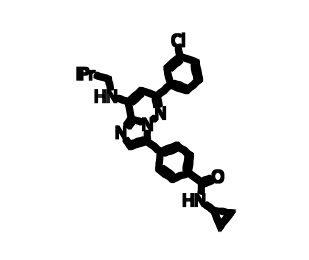 CC(C)CNc1cc(-c2cccc(Cl)c2)nn2c(-c3ccc(C(=O)NC4CC4)cc3)cnc12